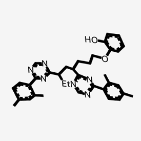 CCC(CC(CCCOc1ccccc1O)c1ncnc(-c2ccc(C)cc2C)n1)c1ncnc(-c2ccc(C)cc2C)n1